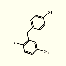 Cc1ccc(Cl)c(Cc2ccc(O)cc2)c1